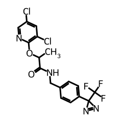 CC(Oc1ncc(Cl)cc1Cl)C(=O)NCc1ccc(C2(C(F)(F)F)N=N2)cc1